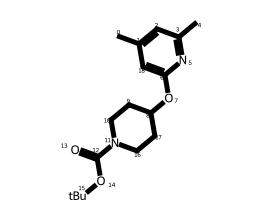 Cc1cc(C)nc(OC2CCN(C(=O)OC(C)(C)C)CC2)c1